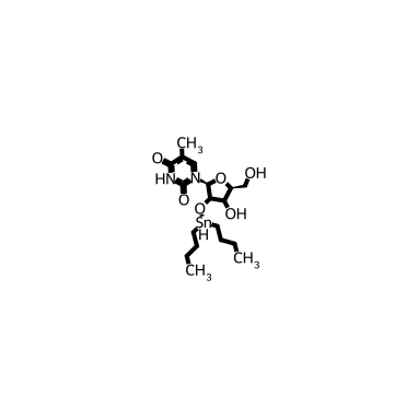 CCC[CH2][SnH]([CH2]CCC)[O]C1C(O)[C@H](CO)O[C@@H]1n1cc(C)c(=O)[nH]c1=O